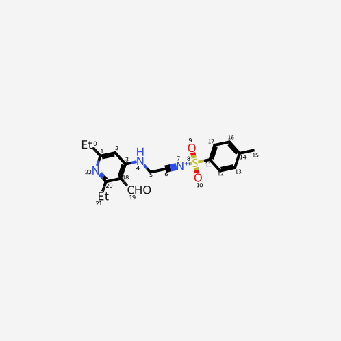 CCc1cc(NCC#[N+]S(=O)(=O)c2ccc(C)cc2)c(C=O)c(CC)n1